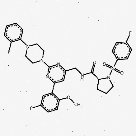 COc1ccc(F)cc1-c1cc(CNC(=O)[C@@H]2CCCN2S(=O)(=O)c2ccc(F)cc2)nc(N2CCN(c3ccccc3F)CC2)n1